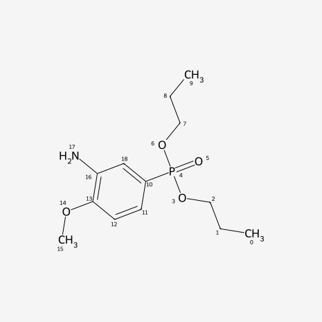 CCCOP(=O)(OCCC)c1ccc(OC)c(N)c1